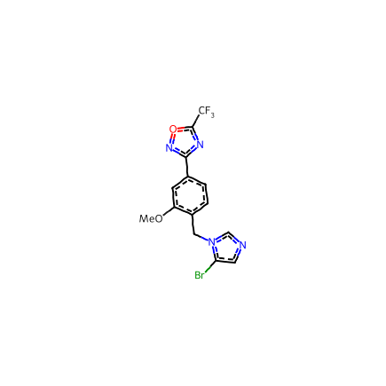 COc1cc(-c2noc(C(F)(F)F)n2)ccc1Cn1cncc1Br